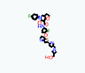 O=C(Nc1ccc(Oc2ccnc3cc(-c4ccc(CN5CC(CO)C5)cn4)sc23)c(F)c1)c1c2c(cn(-c3ccc(F)cc3)c1=O)CCO2